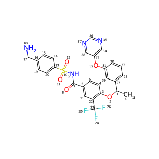 CC(Oc1ccc(C(=O)NS(=O)(=O)c2ccc(CN)cc2)cc1C(F)(F)F)c1cccc(Oc2cncnc2)c1